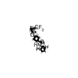 O=C(N[C@@H]1C[C@H]2CC[C@@H]1N2)c1ccc(Oc2nnc(C(F)(F)F)s2)cc1